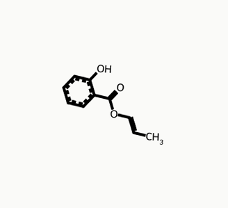 CC=COC(=O)c1ccccc1O